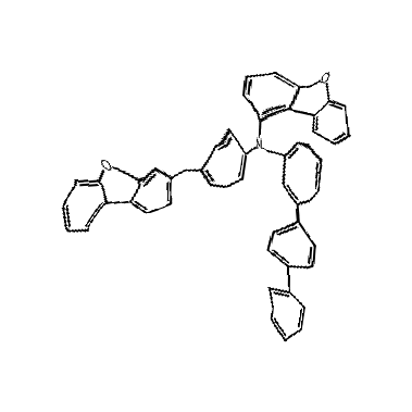 c1ccc(-c2ccc(-c3cccc(N(c4ccc(-c5ccc6c(c5)oc5ccccc56)cc4)c4cccc5oc6ccccc6c45)c3)cc2)cc1